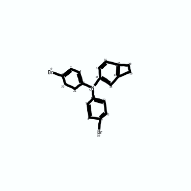 BrC1=CC=C(N(c2ccc(Br)cc2)c2ccc3c(c2)CC3)CC1